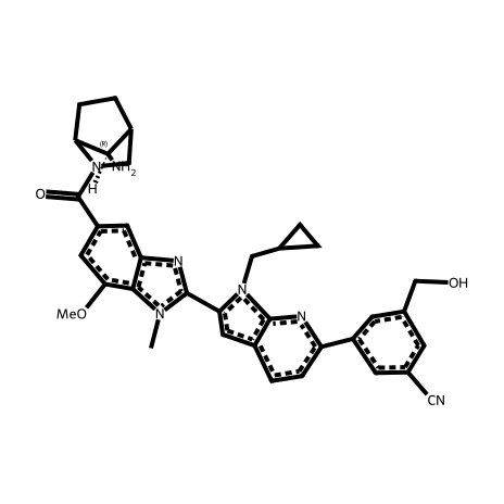 COc1cc(C(=O)N2CC3CCC2[C@@H]3N)cc2nc(-c3cc4ccc(-c5cc(C#N)cc(CO)c5)nc4n3CC3CC3)n(C)c12